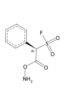 NOC(=O)[C@@H](c1ccccc1)S(=O)(=O)F